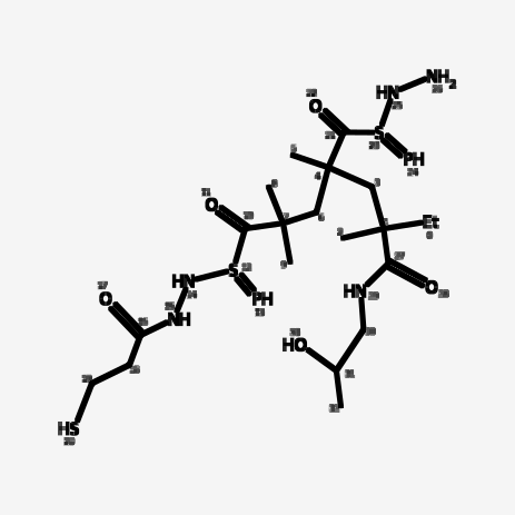 CCC(C)(CC(C)(CC(C)(C)C(=O)S(=P)NNC(=O)CCS)C(=O)S(=P)NN)C(=O)NCC(C)O